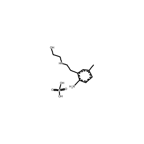 Cc1ccc(N)c(CCNCCO)c1.O=S(=O)(O)O